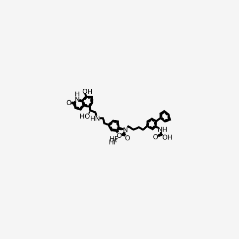 F.F.O=C(O)Nc1cc(CCCCn2c(=O)oc3cc(CCNC[C@@H](O)c4ccc(O)c5[nH]c(=O)ccc45)ccc32)ccc1-c1ccccc1